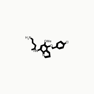 COc1cc(NC(C)CCCN)c2ncccc2c1OCc1ccc(Cl)cc1